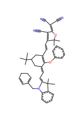 CC1(C)OC(=C(C#N)C#N)C(C#N)=C1/C=C/C1=C(Oc2ccccc2)C(=C/C=C2/N(CC3=CCCC=C3)c3ccccc3C2(C)C)/CC(C(C)(C)C)C1